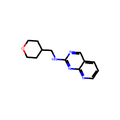 c1cnc2nc(NCC3CCOCC3)ncc2c1